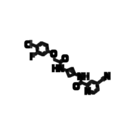 N#Cc1ccnc(C(=O)NC23CC(NC(=O)COc4ccc(Cl)c(F)c4)(C2)C3)c1